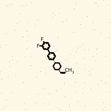 C/C=C\[C@H]1CC[C@H](c2ccc(-c3ccc(F)c(F)c3)cc2)CC1